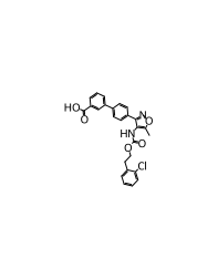 Cc1onc(-c2ccc(-c3cccc(C(=O)O)c3)cc2)c1NC(=O)OCCc1ccccc1Cl